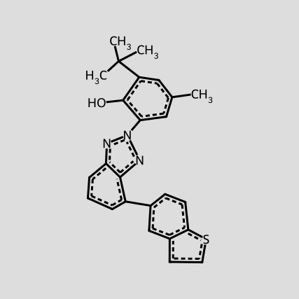 Cc1cc(-n2nc3cccc(-c4ccc5sccc5c4)c3n2)c(O)c(C(C)(C)C)c1